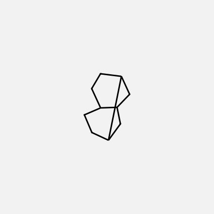 C1CC2CC3CC2CCC13